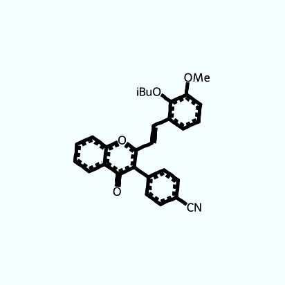 COc1cccc(/C=C/c2oc3ccccc3c(=O)c2-c2ccc(C#N)cc2)c1OCC(C)C